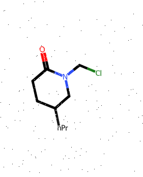 CCCC1CCC(=O)N(CCl)C1